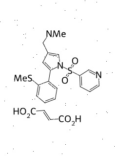 CNCc1cc(-c2ccccc2SC)n(S(=O)(=O)c2cccnc2)c1.O=C(O)C=CC(=O)O